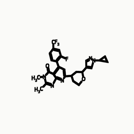 Cc1nc2nc(C3CCOC(c4cnn(C5CC5)c4)C3)cc(-c3ccc(C(F)(F)F)cc3F)c2c(=O)n1C